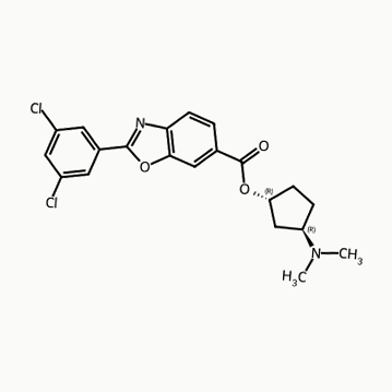 CN(C)[C@@H]1CC[C@@H](OC(=O)c2ccc3nc(-c4cc(Cl)cc(Cl)c4)oc3c2)C1